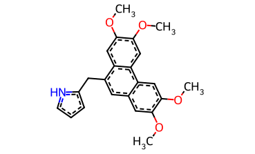 COc1cc2cc(Cc3ccc[nH]3)c3cc(OC)c(OC)cc3c2cc1OC